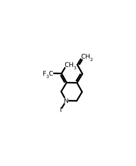 C=C/C=C1/CCN(I)C/C1=C(/C)C(F)(F)F